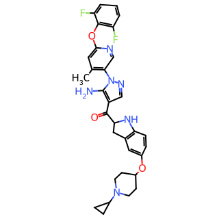 Cc1cc(Oc2c(F)cccc2F)ncc1-n1ncc(C(=O)C2Cc3cc(OC4CCN(C5CC5)CC4)ccc3N2)c1N